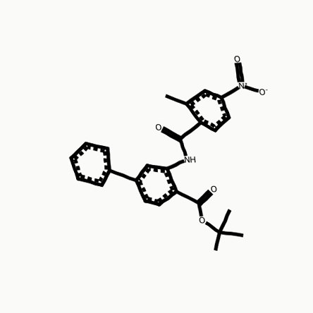 Cc1cc([N+](=O)[O-])ccc1C(=O)Nc1cc(-c2ccccc2)ccc1C(=O)OC(C)(C)C